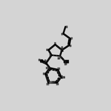 CC/C=C\N1CCC(C(=O)c2cccnc2)C1O